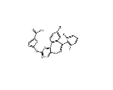 O=C(O)c1cnc(Nc2ncc3c(n2)-c2ccc(Cl)cc2C(c2c(F)cccc2F)=NC3)o1